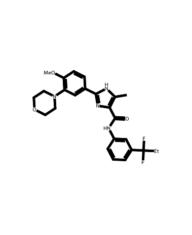 CCC(F)(F)c1cccc(NC(=O)c2nc(-c3ccc(OC)c(N4CCOCC4)c3)[nH]c2C)c1